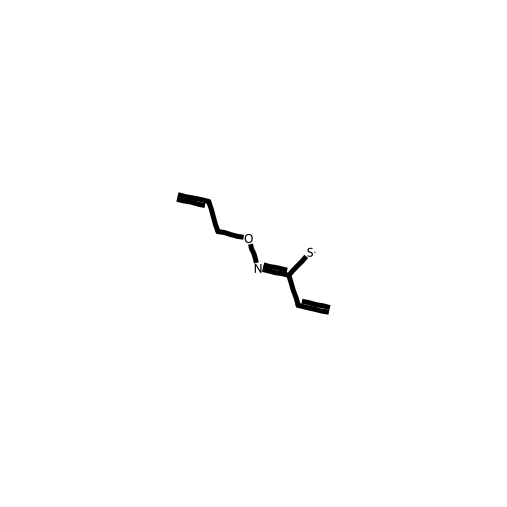 C=CCON=C([S])C=C